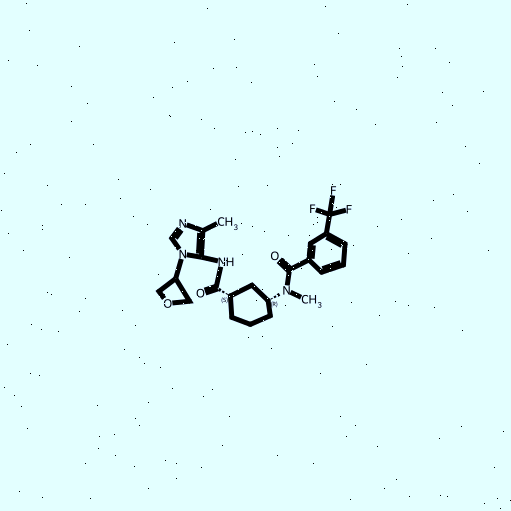 Cc1ncn(C2COC2)c1NC(=O)[C@H]1CCC[C@@H](N(C)C(=O)c2cccc(C(F)(F)F)c2)C1